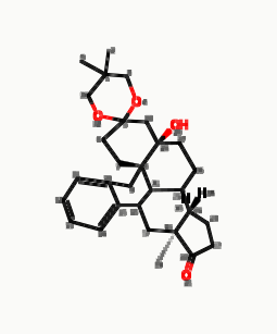 CC1(C)COC2(CC[C@@]34Cc5ccccc5C5C[C@]6(C)C(=O)CC[C@H]6[C@H](CC[C@@]3(O)C2)C54)OC1